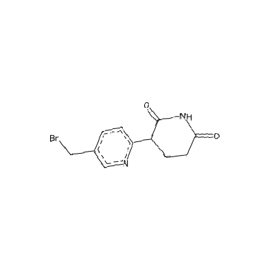 O=C1CCC(c2ccc(CBr)cn2)C(=O)N1